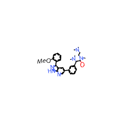 COc1ccccc1-c1n[nH]c2ncc(-c3cccc(C(C(=O)N(C)CCN(C)C)N(C)C)c3)cc12